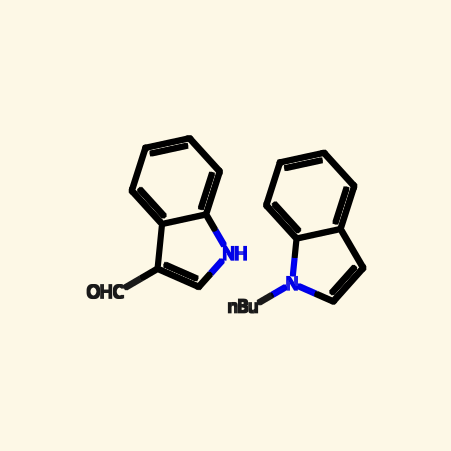 CCCCn1ccc2ccccc21.O=Cc1c[nH]c2ccccc12